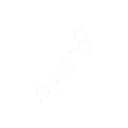 O=C(Nc1cccc(Br)c1)N[C@H]1CC[C@@H](Nc2ccnc3cc(Cl)ccc23)CC1